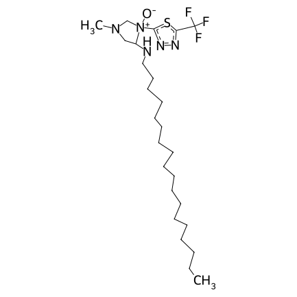 CCCCCCCCCCCCCCCCCCNC1CN(C)C[N+]1([O-])c1nnc(C(F)(F)F)s1